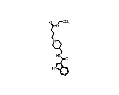 O=C(CCCN1CCC(CNC(=O)c2c[nH]c3ccccc23)CC1)OCC(Cl)(Cl)Cl